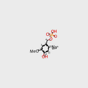 COc1cc(COP(=O)([O-])O)ccc1O.[Na+]